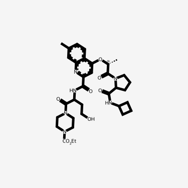 CCOC(=O)N1CCN(C(=O)C(CCO)NC(=O)c2cc(O[C@H](C)C(=O)N3CCCC3C(=O)NC3CCC3)c3ccc(C)cc3n2)CC1